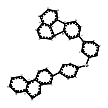 c1cc(Nc2ccc(-c3ccc4c(ccc5ccccc54)c3)cc2)cc(-c2ccc3c(c2)-c2cccc4cccc-3c24)c1